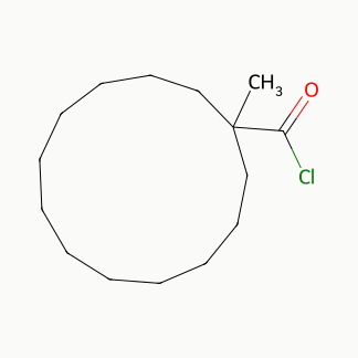 CC1(C(=O)Cl)CCCCCCCCCCCC1